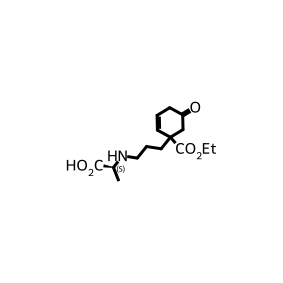 CCOC(=O)C1(CCCN[C@@H](C)C(=O)O)C=CCC(=O)C1